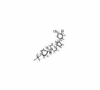 CC(C)(C)c1ccc(S(=O)(=O)N2CCN(c3nc(-c4ccc(Cl)c(Cl)c4)cs3)CC2)cc1